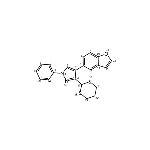 c1ccc(-n2cc(-c3ccc4occc4c3)c(C3SCCCS3)n2)cc1